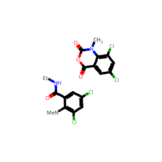 CCNC(=O)c1cc(Cl)cc(Cl)c1NC.Cn1c(=O)oc(=O)c2cc(Cl)cc(Cl)c21